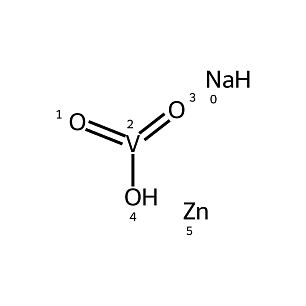 [NaH].[O]=[V](=[O])[OH].[Zn]